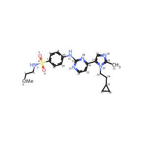 COCCNS(=O)(=O)c1ccc(Nc2nccc(-c3cnc(C)n3CCC3CC3)n2)cc1